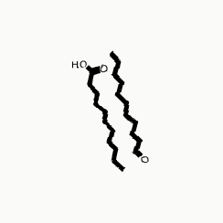 CCCCCCCCCCC(=O)O.CCCCCCCCCCC=O